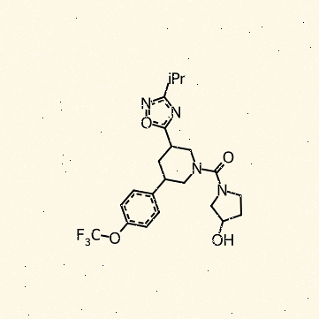 CC(C)c1noc(C2CC(c3ccc(OC(F)(F)F)cc3)CN(C(=O)N3CCC(O)C3)C2)n1